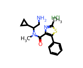 Cc1nc(C(=O)N(C)C(CN)C2CC2)c(-c2ccccc2)s1.Cl